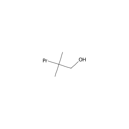 C[C](C)([Pr])CO